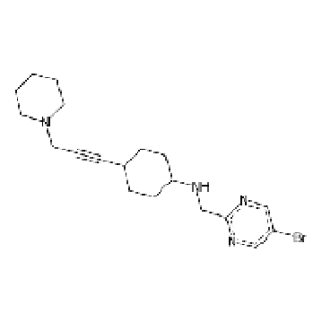 Brc1cnc(CNC2CCC(C#CCN3CCCCC3)CC2)nc1